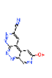 N#Cc1cc2c(nn1)nnc1cnc(O)cc12